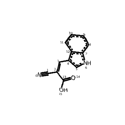 N#CC(=Cc1c[nH]c2ccccc12)C(=O)O